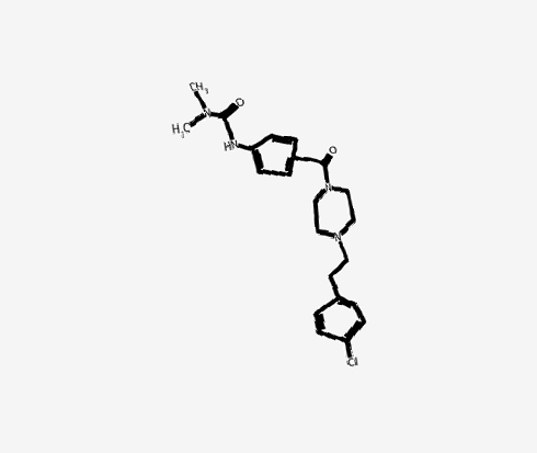 CN(C)C(=O)Nc1ccc(C(=O)N2CCN(CCc3ccc(Cl)cc3)CC2)cc1